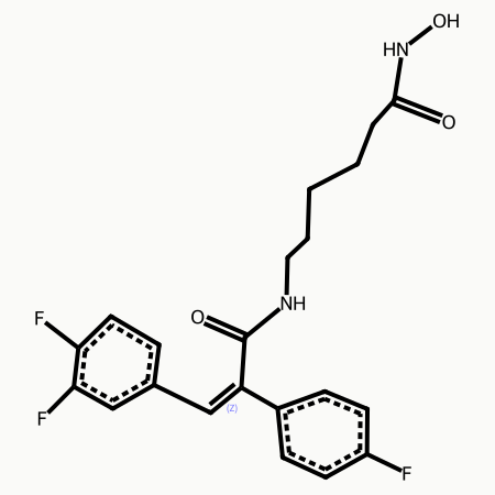 O=C(CCCCCNC(=O)/C(=C\c1ccc(F)c(F)c1)c1ccc(F)cc1)NO